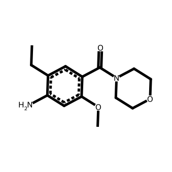 CCc1cc(C(=O)N2CCOCC2)c(OC)cc1N